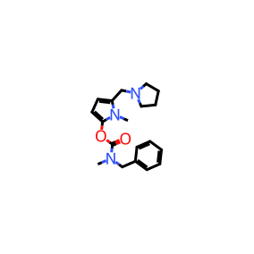 CN(Cc1ccccc1)C(=O)Oc1ccc(CN2CCCC2)n1C